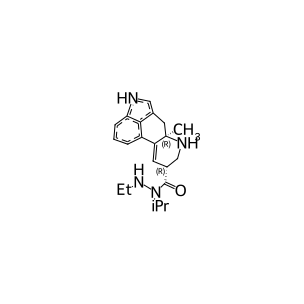 CCNN(C(=O)[C@@H]1C=C2c3cccc4[nH]cc(c34)C[C@@]2(C)NC1)C(C)C